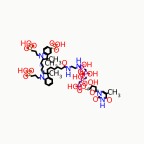 Cc1cn([C@H]2CC(O)[C@@H](COP(=O)(O)CP(=O)(O)CP(=O)(O)CP(=O)(O)NCCNC(=O)CCCCCC3(C)/C(=C\C=C\C4=[N+](CCCS(=O)(=O)O)c5ccc(S(=O)(=O)O)cc5C4(C)C)N(CCCS(=O)(=O)O)c4ccccc43)O2)c(=O)[nH]c1=O